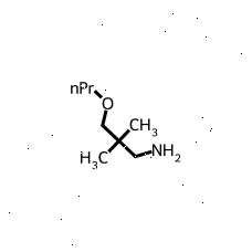 CCCOCC(C)(C)CN